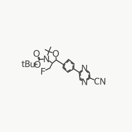 CC(C)(C)OC(=O)N1C(CF)C(c2ccc(-c3cnc(C#N)cn3)cc2)OC1(C)C